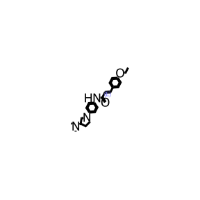 CCOc1ccc(/C=C/C(=O)Nc2ccc(N3CCC(N(C)C)C3)cc2)cc1